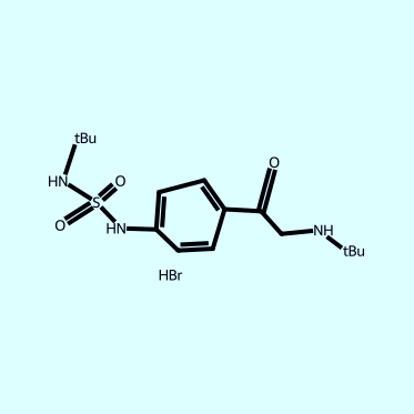 Br.CC(C)(C)NCC(=O)c1ccc(NS(=O)(=O)NC(C)(C)C)cc1